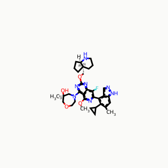 COc1nc(-c2c(C3CC3)c(C)cc3[nH]ncc23)c(F)c2nc(OC[C@@]34CCCN[C@@H]3CCC4)nc(N3CCOC[C@@](C)(O)C3)c12